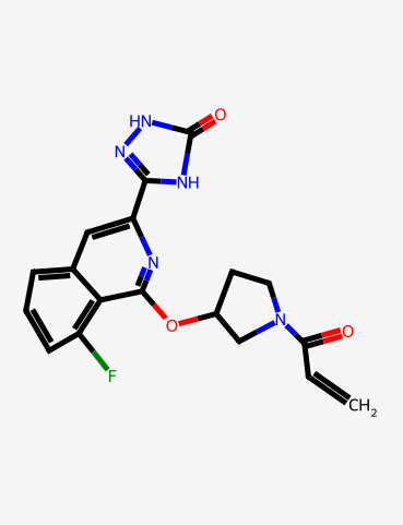 C=CC(=O)N1CCC(Oc2nc(-c3n[nH]c(=O)[nH]3)cc3cccc(F)c23)C1